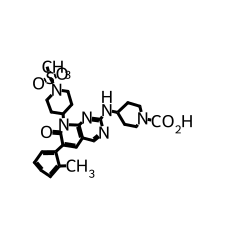 Cc1ccccc1-c1cc2cnc(NC3CCN(C(=O)O)CC3)nc2n(C2CCN(S(C)(=O)=O)CC2)c1=O